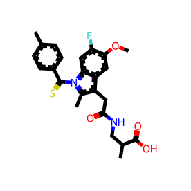 COc1cc2c(CC(=O)NCC(C)C(=O)O)c(C)n(C(=S)c3ccc(C)cc3)c2cc1F